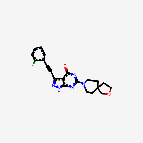 O=c1[nH]c(N2CCC3(CCOC3)CC2)nc2[nH]nc(C#Cc3ccccc3F)c12